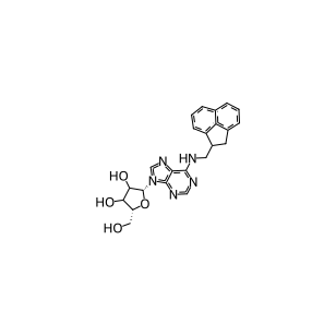 OC[C@H]1O[C@@H](n2cnc3c(NCC4Cc5cccc6cccc4c56)ncnc32)C(O)C1O